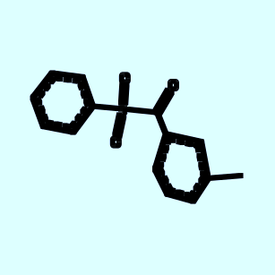 Cc1cccc(C(=O)S(=O)(=O)c2ccccc2)c1